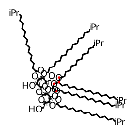 CC(C)CCCCCCCCCCCCCCC(=O)OC[C@H]1O[C@H](O[C@H]2O[C@H](CO)[C@@H](OC(=O)CCCCCCCCCCCCCCC(C)C)[C@H](OC(=O)CCCCCCCCCCCCCCC(C)C)[C@H]2OC(=O)CCCCCCCCCCCCCCC(C)C)[C@H](O)[C@@H](OC(=O)CCCCCCCCCCCCCCC(C)C)[C@@H]1OC(=O)CCCCCCCCCCCCCCC(C)C